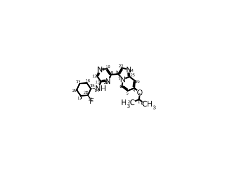 CC(C)Oc1ccn2c(-c3cncc(N[C@H]4CCCC[C@@H]4F)n3)cnc2c1